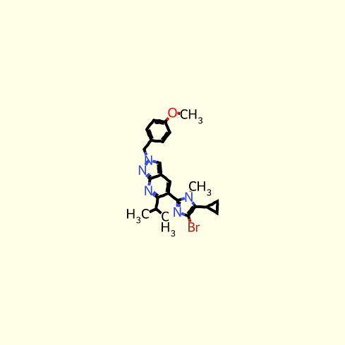 COc1ccc(Cn2cc3cc(-c4nc(Br)c(C5CC5)n4C)c(C(C)C)nc3n2)cc1